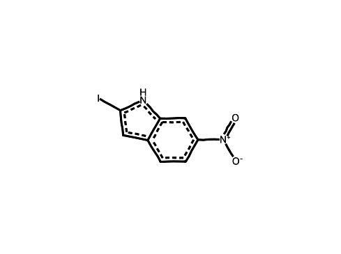 O=[N+]([O-])c1ccc2cc(I)[nH]c2c1